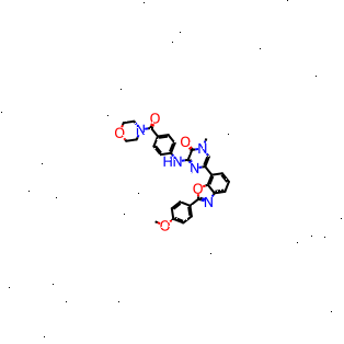 COc1ccc(-c2nc3cccc(-c4cn(C)c(=O)c(Nc5ccc(C(=O)N6CCOCC6)cc5)n4)c3o2)cc1